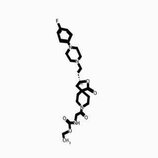 CCOC(=O)NCC(=O)N1CCC2(CC1)C[C@H](CCN1CCN(c3ccc(F)cc3)CC1)OC2=O